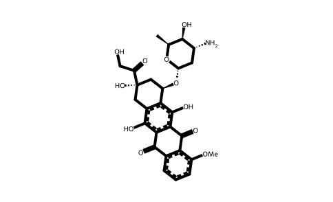 COc1cccc2c1C(=O)c1c(O)c3c(c(O)c1C2=O)C[C@@](O)(C(=O)CO)C[C@H]3O[C@H]1C[C@@H](N)[C@H](O)[C@H](C)O1